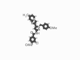 COc1ccc(Cn2nc(NC(=O)c3ccc(OC)c(Cl)c3)cc2-c2cn3ccc(C)cc3n2)cc1